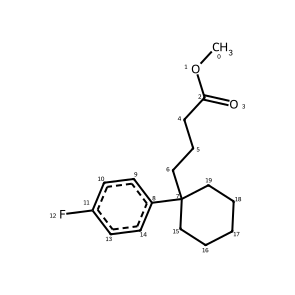 COC(=O)CCCC1(c2ccc(F)cc2)CCCCC1